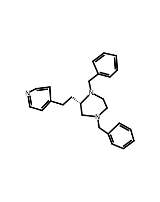 c1ccc(CN2CCN(Cc3ccccc3)[C@@H](CCc3ccncc3)C2)cc1